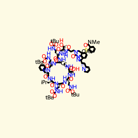 CNC(=O)c1ccccc1Sc1ccc2c(/C=C/c3ccccn3)nn(C(=O)N(CCOC(C)=O)CCC(=O)N[C@H](C(=O)N[C@@H](CCNC(=O)OC(C)(C)C)C(=O)N[C@H]3CCNC(=O)[C@H]([C@@H](C)O)NC(=O)[C@H](CCNC(=O)OC(C)(C)C)NC(=O)[C@H](CCNC(=O)OC(C)(C)C)NC(=O)[C@H](CC(C)C)NC(=O)[C@@H](Cc4ccccc4)NC(=O)[C@H](CCNC(=O)OC(C)(C)C)NC3=O)[C@@H](C)O)c2c1